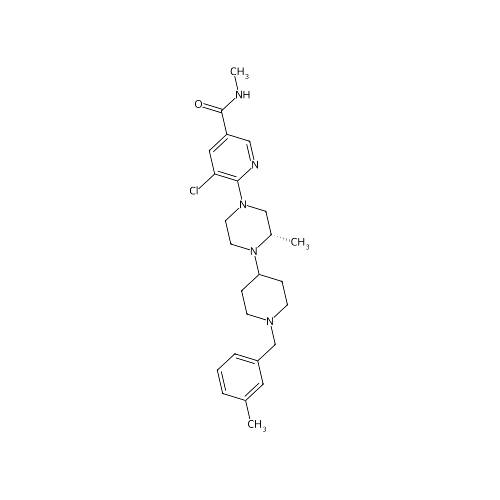 CNC(=O)c1cnc(N2CCN(C3CCN(Cc4cccc(C)c4)CC3)[C@@H](C)C2)c(Cl)c1